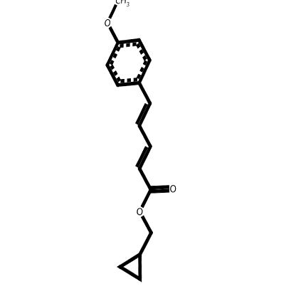 COc1ccc(C=CC=CC(=O)OCC2CC2)cc1